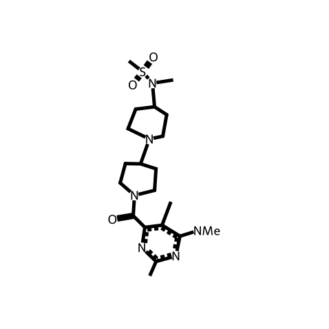 CNc1nc(C)nc(C(=O)N2CCC(N3CCC(N(C)S(C)(=O)=O)CC3)CC2)c1C